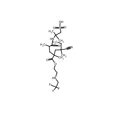 CCC(C)(C#N)CC(C)(CC(C)C(=O)NC(C)(C)CS(=O)(=O)O)C(=O)OCCNCC(F)(F)F